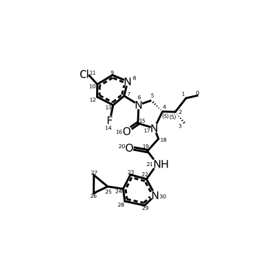 CC[C@H](C)[C@H]1CN(c2ncc(Cl)cc2F)C(=O)N1CC(=O)Nc1cc(C2CC2)ccn1